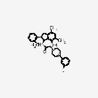 Cc1ccccc1C1Cc2c(C)cc(C)c(O)c2C1NC(=O)CN1CCN(c2cccc(Cl)c2)CC1